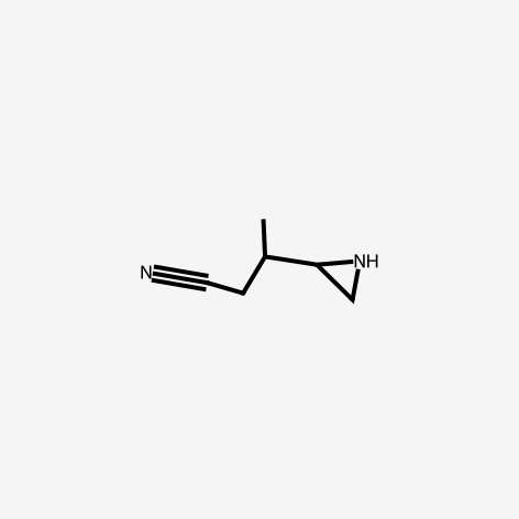 CC(CC#N)C1CN1